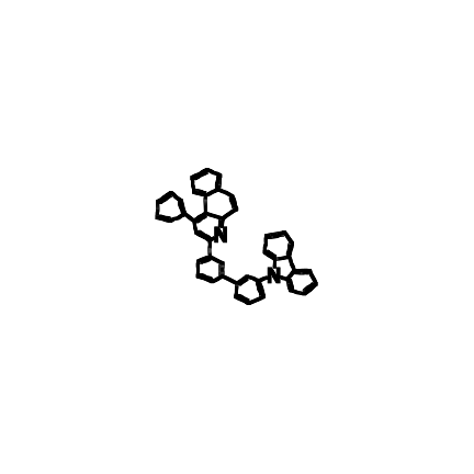 c1ccc(-c2cc(-c3cccc(-c4cccc(-n5c6ccccc6c6ccccc65)c4)c3)nc3ccc4ccccc4c23)cc1